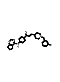 O=C(C=CC1CCN(Cc2cccc(F)c2)CC1)c1ccc(Nc2ncnc3c2CCC3)cc1